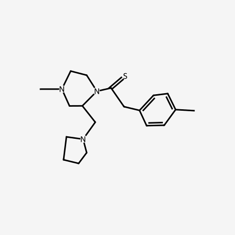 Cc1ccc(CC(=S)N2CCN(C)CC2CN2CCCC2)cc1